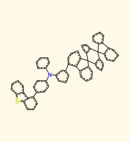 c1ccc(N(c2ccc(-c3cccc4sc5ccccc5c34)cc2)c2cccc(-c3cccc4c3-c3ccccc3C43c4ccccc4C4(c5ccccc5-c5ccccc54)c4ccccc43)c2)cc1